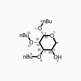 CCCCO[C@@H]1OC[C@@H](O)[C@@H](OCCCC)[C@@H]1OCCCC